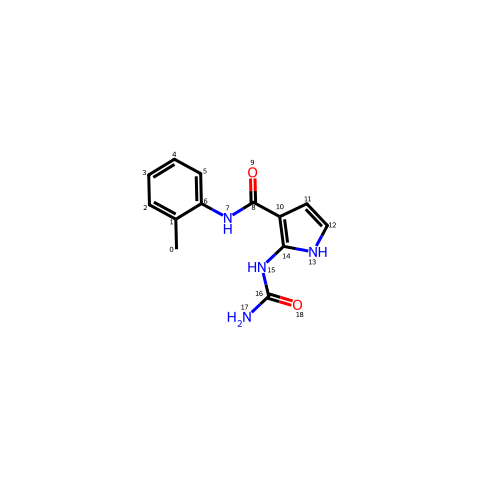 Cc1ccccc1NC(=O)c1cc[nH]c1NC(N)=O